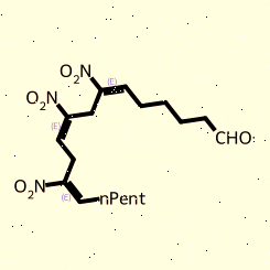 CCCCC/C=C(\C/C=C(\C/C(=C\CCCC[C]=O)[N+](=O)[O-])[N+](=O)[O-])[N+](=O)[O-]